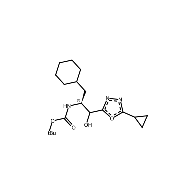 CC(C)(C)OC(=O)N[C@@H](CC1CCCCC1)C(O)c1nnc(C2CC2)o1